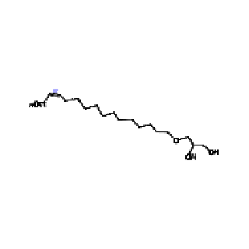 CCCCCCCC/C=C\CCCCCCCCCCCCOCC(O)CO